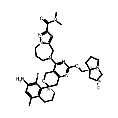 Cc1cc(N)c(F)c2c1CCC[C@]21Cc2nc(OC[C@@]34CCCN3C[C@H](F)C4)nc(N3CCCn4nc(C(=O)N(C)C)cc4C3)c2CO1